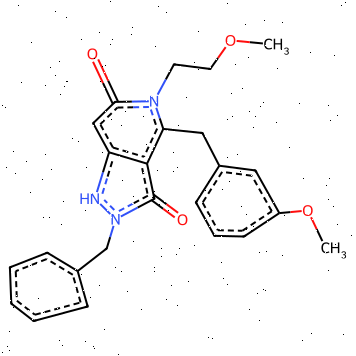 COCCn1c(Cc2cccc(OC)c2)c2c(=O)n(Cc3ccccc3)[nH]c2cc1=O